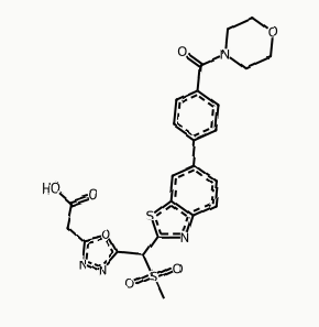 CS(=O)(=O)C(c1nnc(CC(=O)O)o1)c1nc2ccc(-c3ccc(C(=O)N4CCOCC4)cc3)cc2s1